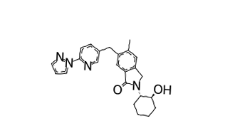 Cc1cc2c(cc1Cc1ccc(-n3cccn3)nc1)C(=O)N([C@H]1CCCC[C@@H]1O)C2